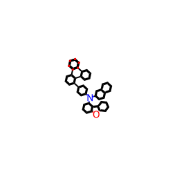 c1ccc(-c2ccccc2-c2c(-c3ccccc3)cccc2-c2ccc(N(c3ccc4ccccc4c3)c3cccc4oc5ccccc5c34)cc2)cc1